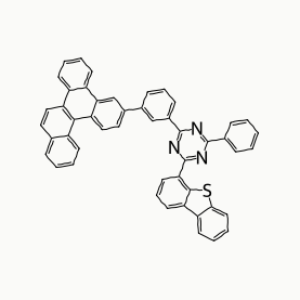 c1ccc(-c2nc(-c3cccc(-c4ccc5c(c4)c4ccccc4c4ccc6ccccc6c45)c3)nc(-c3cccc4c3sc3ccccc34)n2)cc1